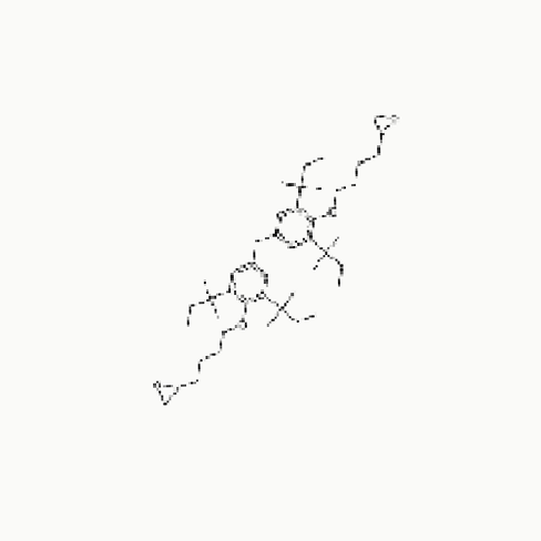 CCC(C)(C)c1cc(Cc2cc(C(C)(C)CC)c(OCCCCC3CO3)c(C(C)(C)CC)c2)cc(C(C)(C)CC)c1OCCCCC1CO1